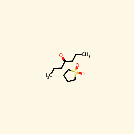 CCCC(=O)CCC.O=S1(=O)CCCC1